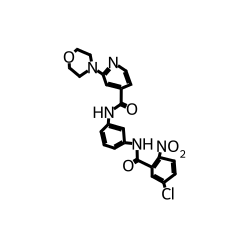 O=C(Nc1cccc(NC(=O)c2cc(Cl)ccc2[N+](=O)[O-])c1)c1ccnc(N2CCOCC2)c1